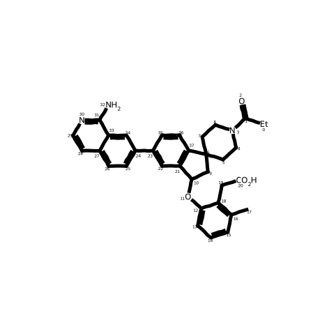 CCC(=O)N1CCC2(CC1)CC(Oc1cccc(C)c1CC(=O)O)c1cc(-c3ccc4ccnc(N)c4c3)ccc12